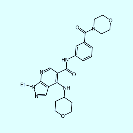 CCn1ncc2c(NC3CCOCC3)c(C(=O)Nc3cccc(C(=O)N4CCOCC4)c3)cnc21